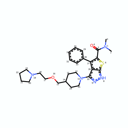 CN(C)C(=O)c1sc2[nH]nc(N3CCC(COCCN4CCCC4)CC3)c2c1-c1ccccc1